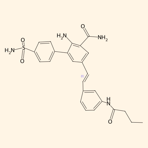 CCCC(=O)Nc1cccc(/C=C/c2cc(C(N)=O)c(N)c(-c3ccc(S(N)(=O)=O)cc3)c2)c1